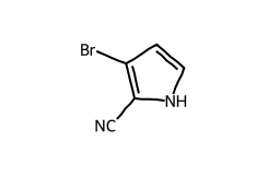 N#Cc1[nH]ccc1Br